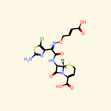 Nc1nc(/C(=N/OCC=CC(=O)O)C(=O)NC2C(=O)N3C(C(=O)O)=CCS[C@@H]23)c(Cl)s1